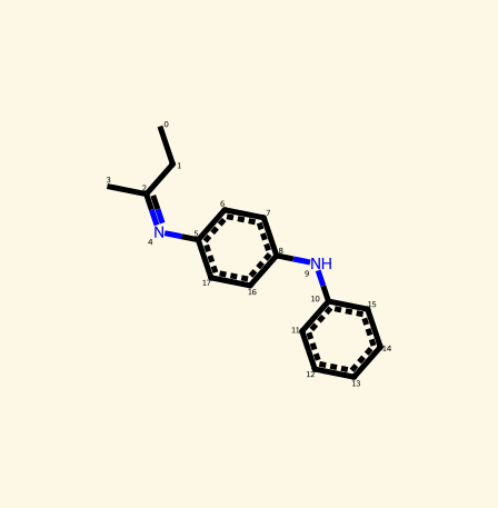 CCC(C)=Nc1ccc(Nc2ccccc2)cc1